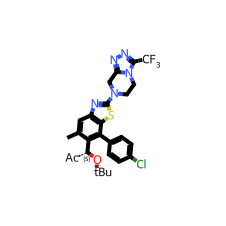 CC(=O)[C@@H](OC(C)(C)C)c1c(C)cc2nc(N3CCn4c(nnc4C(F)(F)F)C3)sc2c1-c1ccc(Cl)cc1